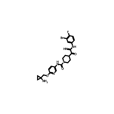 N=C(Nc1ccc(F)c(Br)c1)C(=O)C1CCN(C(=O)Nc2ccc(OCC3(N)CC3)nc2)CC1